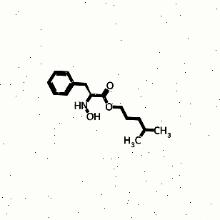 CC(C)CCCOC(=O)[C@H](Cc1ccccc1)NO